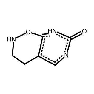 O=c1ncc2c([nH]1)ONCC2